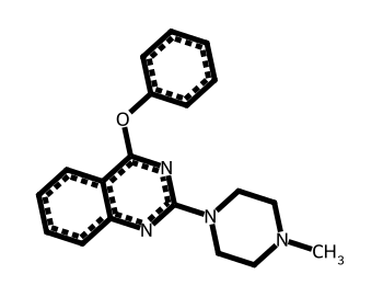 CN1CCN(c2nc(Oc3ccccc3)c3ccccc3n2)CC1